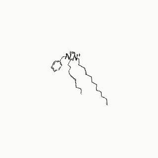 CCCCCCCCCCCC[n+]1ccn(Cc2ccccc2)c1CCCCCCC